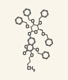 CCCCOc1c(OCc2ccccc2)c2ccc(O[C@@H]3O[C@H](COCc4ccccc4)[C@H](OCc4ccccc4)[C@H](OCc4ccccc4)[C@H]3OCc3ccccc3)cc2oc1=O